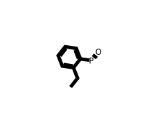 CCc1ccccc1P=O